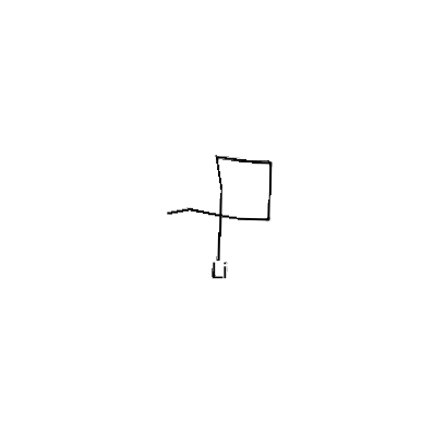 [Li][C]1(C)CCC1